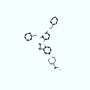 CC(C)(C)OC(=O)C1CCN(c2ccc3c(c2)C(C)(C)C(=O)N3c2ccc(OCc3ccccc3)nc2OCc2ccccc2)CC1